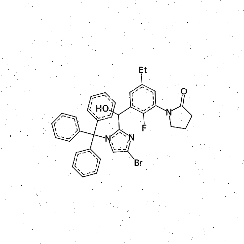 CCc1cc(C(O)c2nc(Br)cn2C(c2ccccc2)(c2ccccc2)c2ccccc2)c(F)c(N2CCCC2=O)c1